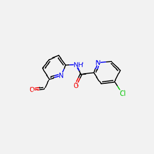 O=Cc1cccc(NC(=O)c2cc(Cl)ccn2)n1